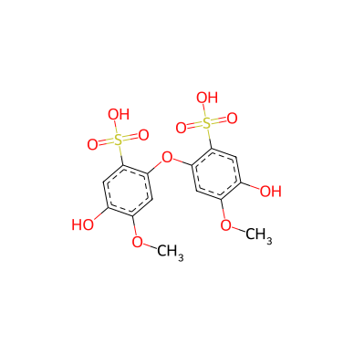 COc1cc(Oc2cc(OC)c(O)cc2S(=O)(=O)O)c(S(=O)(=O)O)cc1O